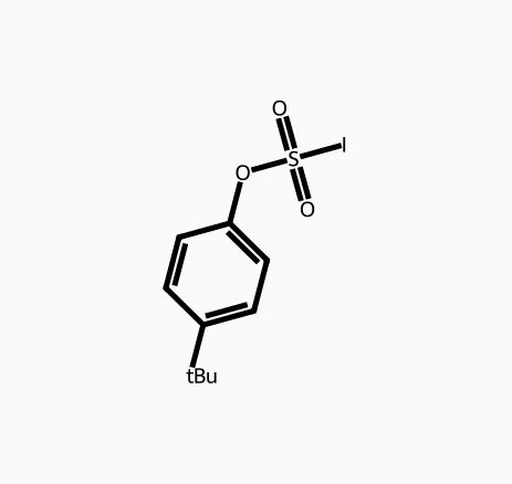 CC(C)(C)c1ccc(OS(=O)(=O)I)cc1